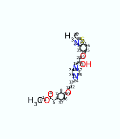 CCOC(=O)Cc1ccc(OCCCCN2CCN(C[C@@H](O)COc3ccc4sc(C)nc4c3)CC2)cc1